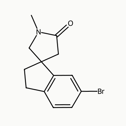 CN1CC2(CCc3ccc(Br)cc32)CC1=O